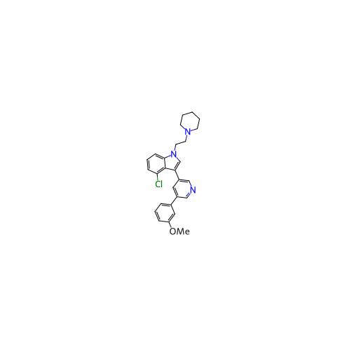 COc1cccc(-c2cncc(-c3cn(CCN4CCCCC4)c4cccc(Cl)c34)c2)c1